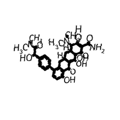 CN(C)C(=O)C(O)c1ccc(-c2ccc(O)c3c2C[C@@H]2C[C@H]4C(N(C)C)C(O)=C(C(N)=O)C(=O)[C@@]4(O)C(O)=C2C3=O)cc1